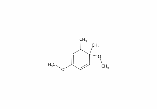 COC1=CC(C)C(C)(OC)C=C1